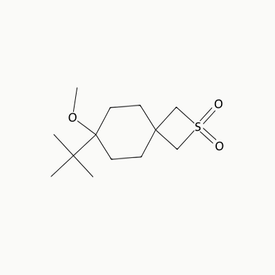 COC1(C(C)(C)C)CCC2(CC1)CS(=O)(=O)C2